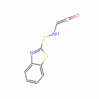 O=C=CNSc1nc2ccccc2s1